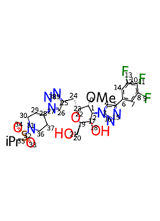 CO[C@@H]1[C@@H](n2cc(-c3cc(F)c(F)c(F)c3)nn2)[C@@H](O)[C@@H](CO)O[C@@H]1Cc1cn(C2CCN(S(=O)(=O)C(C)C)CC2)nn1